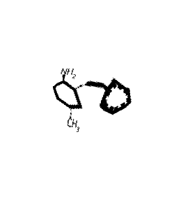 C[C@@H]1CC[C@@H](N)[C@H](Cc2ccccc2)C1